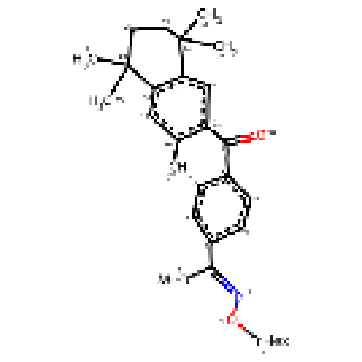 CCCCCCON=C(OC)c1ccc(C(=O)c2cc3c(cc2C)C(C)(C)CCC3(C)C)cc1